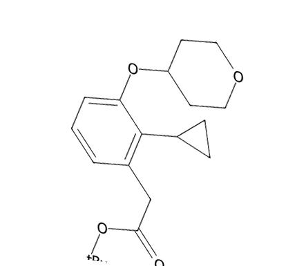 CC(C)(C)OC(=O)Cc1cccc(OC2CCOCC2)c1C1CC1